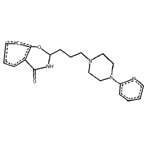 O=C1NC(CCCN2CCN(c3ccccn3)CC2)Oc2ccccc21